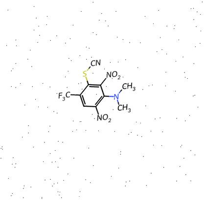 CN(C)c1c([N+](=O)[O-])cc(C(F)(F)F)c(SC#N)c1[N+](=O)[O-]